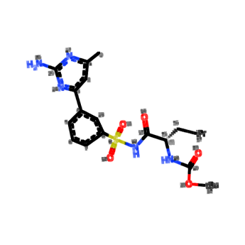 Cc1cc(-c2cccc(S(=O)(=O)NC(=O)[C@H](CC(C)C)NC(=O)OC(C)(C)C)c2)nc(N)n1